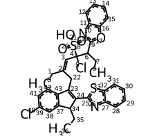 CCC(=CC(Cl)(C(CC)c1nc2ccccc2o1)S(=O)(=O)O)CC1=C(c2nc3ccccc3s2)C(CC)c2cc(Cl)ccc21